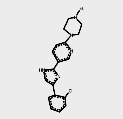 CCN1CCN(c2ccc(-c3nc(-c4ccccc4Cl)c[nH]3)cn2)CC1